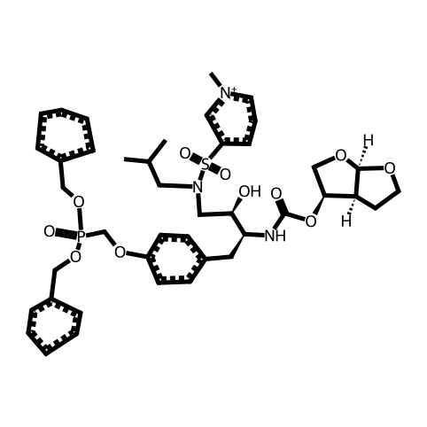 CC(C)CN(C[C@@H](O)[C@H](Cc1ccc(OCP(=O)(OCc2ccccc2)OCc2ccccc2)cc1)NC(=O)O[C@H]1CO[C@H]2OCC[C@H]21)S(=O)(=O)c1ccc[n+](C)c1